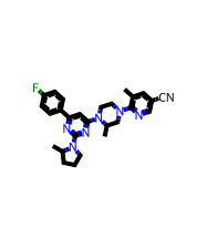 Cc1cc(C#N)cnc1N1CCN(c2cc(-c3ccc(F)cc3)nc(N3CCCC3C)n2)C(C)C1